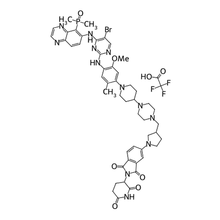 COc1cc(N2CCC(N3CCN(CC4CCN(c5ccc6c(c5)C(=O)N(C5CCC(=O)NC5=O)C6=O)C4)CC3)CC2)c(C)cc1Nc1ncc(Br)c(Nc2ccc3nccnc3c2P(C)(C)=O)n1.O=C(O)C(F)(F)F